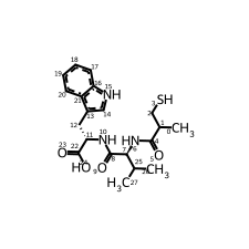 CC(CS)C(=O)N[C@H](C(=O)N[C@@H](Cc1c[nH]c2ccccc12)C(=O)O)C(C)C